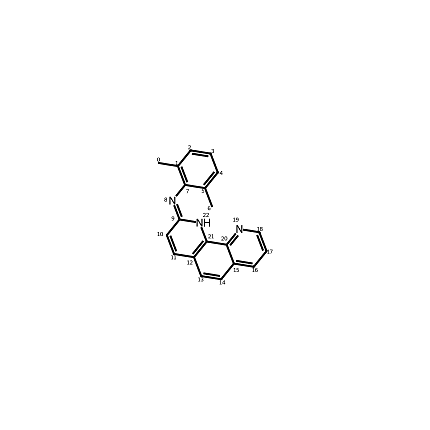 Cc1cccc(C)c1/N=c1/ccc2ccc3cccnc3c2[nH]1